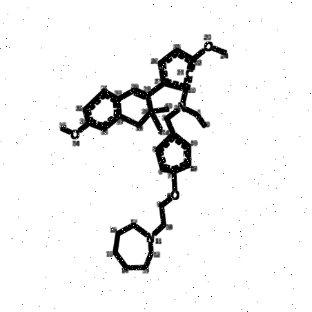 CCN(Cc1ccc(OCCN2CCCCCC2)cc1)c1cc(OC)ccc1C1=Cc2ccc(OC)cc2CC1(C)C